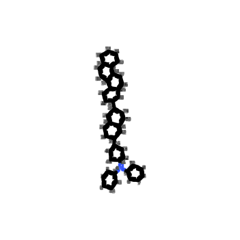 c1ccc(N(c2ccccc2)c2ccc(-c3ccc4cc(-c5ccc6c(ccc7c8ccccc8ccc67)c5)ccc4c3)cc2)cc1